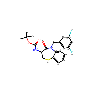 CC(C)(C)OC(=O)NC1CSc2ccccc2N(Cc2cc(F)cc(F)c2)C1=O